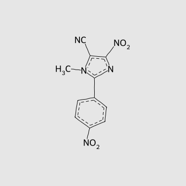 Cn1c(-c2ccc([N+](=O)[O-])cc2)nc([N+](=O)[O-])c1C#N